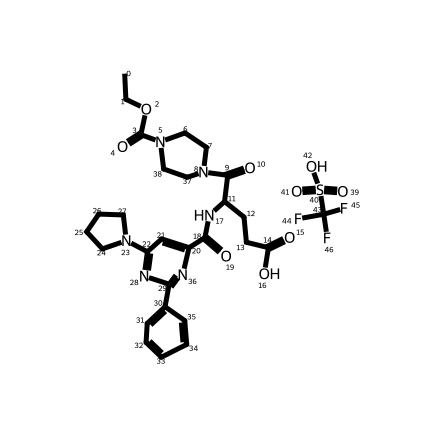 CCOC(=O)N1CCN(C(=O)C(CCC(=O)O)NC(=O)c2cc(N3CCCC3)nc(-c3ccccc3)n2)CC1.O=S(=O)(O)C(F)(F)F